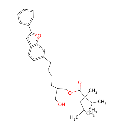 CC(C)CC(C)(C(=O)OCC(CO)CCCCc1ccc2cc(-c3ccccc3)oc2c1)C(C)C